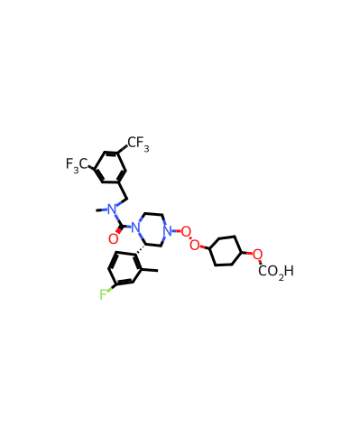 Cc1cc(F)ccc1[C@H]1CN(OOC2CCC(OC(=O)O)CC2)CCN1C(=O)N(C)Cc1cc(C(F)(F)F)cc(C(F)(F)F)c1